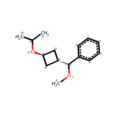 COC(c1ccccc1)[C@H]1C[C@H](OC(C)C)C1